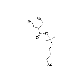 CC(=O)CCCCC(C)(C)OC(=O)C(CBr)CBr